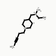 CC#CCCN1CCC(CN(C)CS)CC1